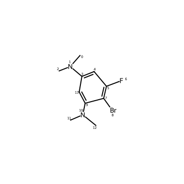 CN(C)c1cc(F)c(Br)c(N(C)C)c1